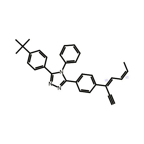 C#C/C(=C\C=C/C)c1ccc(-c2nnc(-c3ccc(C(C)(C)C)cc3)n2-c2ccccc2)cc1